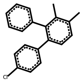 Cc1ccc(-c2ccc(Cl)cc2)c(-c2ccccc2)c1C